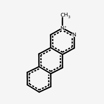 C[n+]1cc2cc3ccccc3cc2cn1